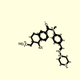 CCC1c2ccc(C(=O)N(C)c3ccc(C=NN4CCOCC4)cc3)cc2CCC1CC(=O)O